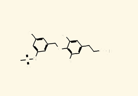 CS(=O)(=O)Nc1cc(Cl)cc(COc2c(Br)cc(CCC(=O)O)cc2Br)c1